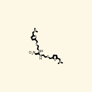 CN(C)Cc1ccc(CSCCNC(=C[N+](=O)[O-])NCCSCc2ccc(CN(C)C)s2)s1